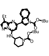 CCc1cnn2c(NC3CCCN(C(=O)OC(C)(C)C)C3)cc(-c3cn(C(=O)OC(C)(C)C)c4ccccc34)nc12